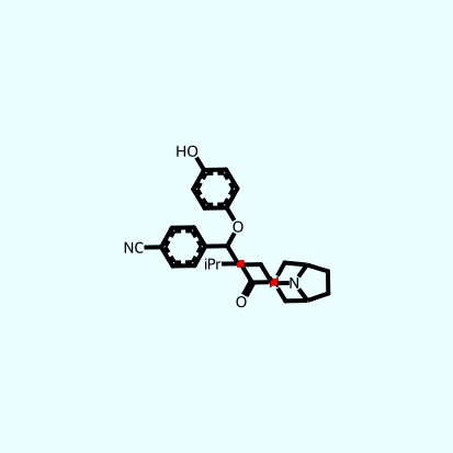 CC(C)CC(=O)N1CC2CCC(C1)N2CCCC(Oc1ccc(O)cc1)c1ccc(C#N)cc1